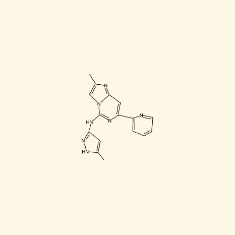 Cc1cn2c(Nc3cc(C)[nH]n3)nc(-c3ccccn3)cc2n1